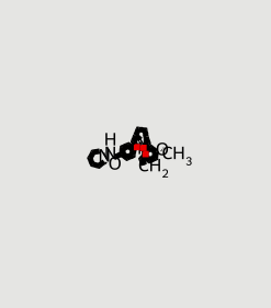 C=CCN1CCC2CCC(C1)N2C(c1ccc(C(=O)NN2CCCCCC2)cc1)c1cccc(OC)c1